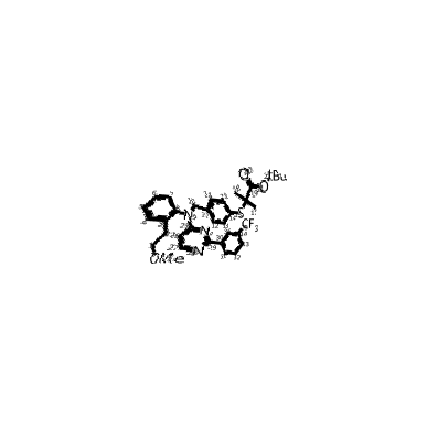 COCCc1ccccc1N(Cc1ccc(SC(C)(C)C(=O)OC(C)(C)C)cc1)c1ccnc(-c2cccc(C(F)(F)F)c2)n1